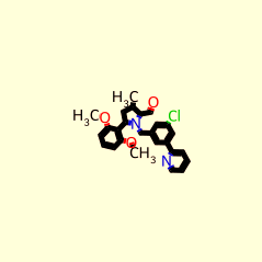 COc1cccc(OC)c1C1CC(C)C(C=O)N1Cc1cc(Cl)cc(-c2ccccn2)c1